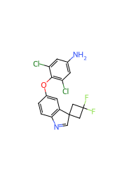 Nc1cc(Cl)c(Oc2ccc3c(c2)C2(C=N3)CC(F)(F)C2)c(Cl)c1